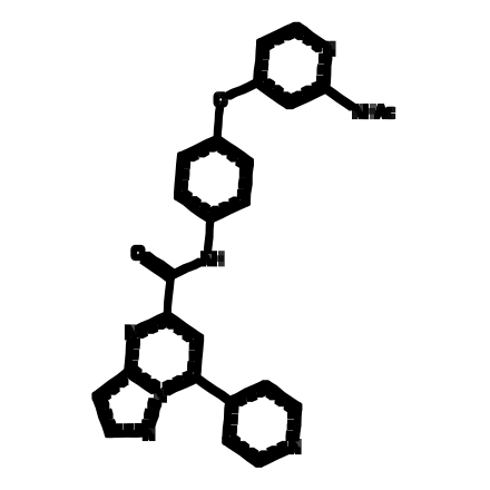 CC(=O)Nc1cc(Oc2ccc(NC(=O)c3cc(-c4ccncc4)n4nccc4n3)cc2)ccn1